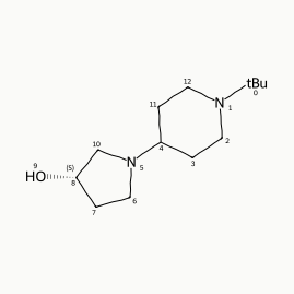 CC(C)(C)N1CCC(N2CC[C@H](O)C2)CC1